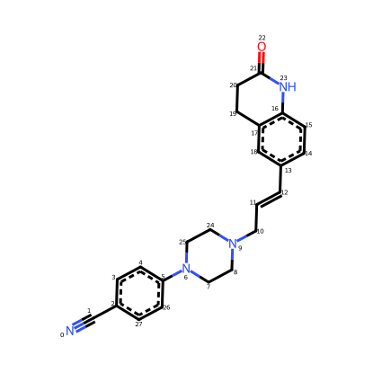 N#Cc1ccc(N2CCN(CC=Cc3ccc4c(c3)CCC(=O)N4)CC2)cc1